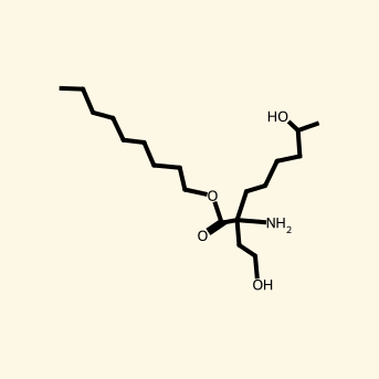 CCCCCCCCCOC(=O)C(N)(CCO)CCCCC(C)O